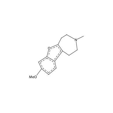 COc1ccc2c3c(oc2c1)CCN(C)CC3